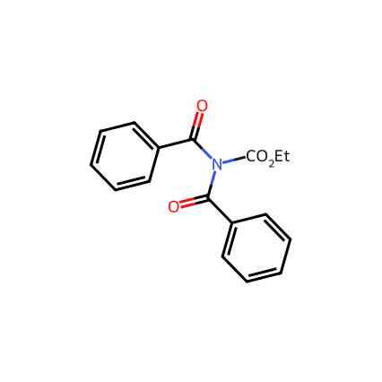 CCOC(=O)N(C(=O)c1ccccc1)C(=O)c1ccccc1